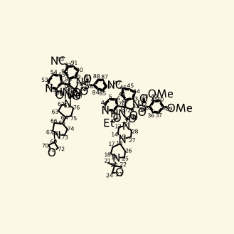 CCOc1ncccc1[C@]1(NC(=O)N2CCN(C3CCN(C4(C)COC4)CC3)CC2)C(=O)N(S(=O)(=O)c2ccc(OC)cc2OC)c2ccc(C#N)cc21.COc1ncccc1[C@]1(NC(=O)N2CCC(C3CCN(C4COC4)CC3)CC2)C(=O)N(S(=O)(=O)c2ccccc2)c2ccc(C#N)cc21